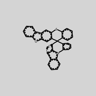 c1ccc2c(c1)Sc1cc3c(cc1C21c2ccccc2-n2c4ccccc4c4cccc1c42)oc1ccccc13